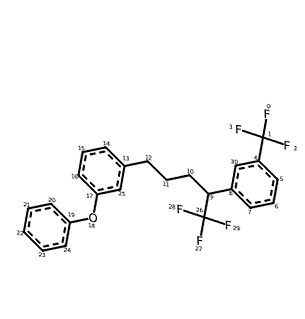 FC(F)(F)c1cccc(C(CCCc2cccc(Oc3ccccc3)c2)C(F)(F)F)c1